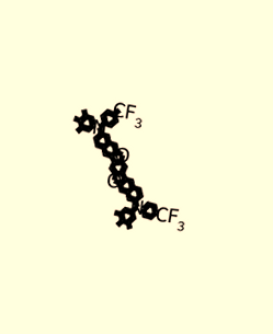 Cc1cc(N(c2ccc(C(F)(F)F)cc2)c2ccc3cc4c(cc3c2)oc2cc3c(cc24)oc2cc4cc(N(c5ccc(C(F)(F)F)cc5)c5cc(C)c(C)c(C)c5)ccc4cc23)cc(C)c1C